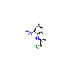 C=Nc1ccccc1/N=C(\C)CCl